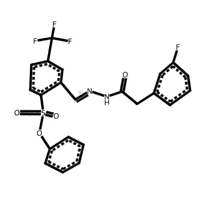 O=C(Cc1cccc(F)c1)N/N=C/c1cc(C(F)(F)F)ccc1S(=O)(=O)Oc1ccccc1